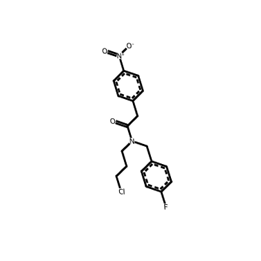 O=C(Cc1ccc([N+](=O)[O-])cc1)N(CCCCl)Cc1ccc(F)cc1